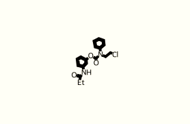 CCC(=O)Nc1cccc(OC(=O)N(CCCl)c2ccccc2)c1